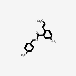 Nc1ccc(COC(=O)c2cc(N)ccc2C=CC(=O)O)cc1